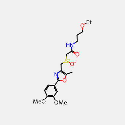 CCOCCCNC(=O)C[S+]([O-])Cc1nc(-c2ccc(OC)c(OC)c2)oc1C